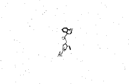 C=C[C@H]1CN(C(C)=O)CC[C@H]1CC1OC1c1ccnc2ccccc12